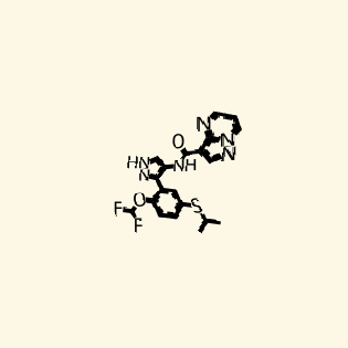 CC(C)Sc1ccc(OC(F)F)c(-c2n[nH]cc2NC(=O)c2cnn3cccnc23)c1